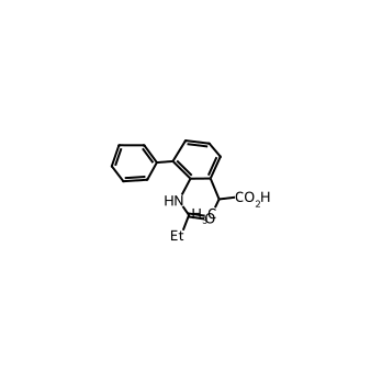 CCC(=O)Nc1c(-c2ccccc2)cccc1C(C)C(=O)O